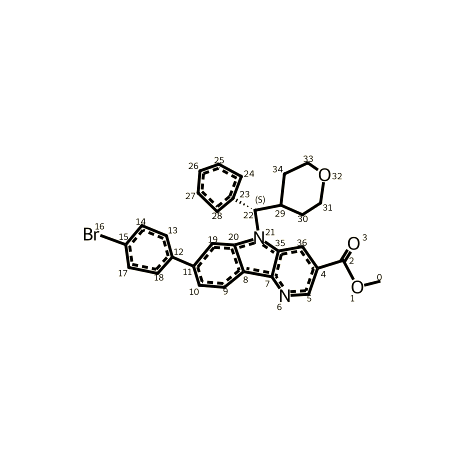 COC(=O)c1cnc2c3ccc(-c4ccc(Br)cc4)cc3n([C@H](c3ccccc3)C3CCOCC3)c2c1